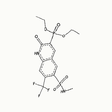 CCOP(=O)(OCC)c1cc2cc(S(=O)(=O)NC)c(C(F)(F)F)cc2[nH]c1=O